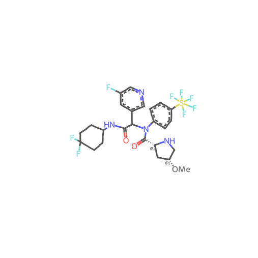 CO[C@H]1CN[C@@H](C(=O)N(c2ccc(S(F)(F)(F)(F)F)cc2)C(C(=O)NC2CCC(F)(F)CC2)c2cncc(F)c2)C1